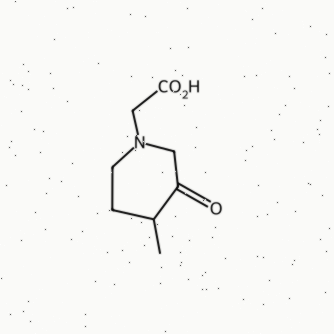 CC1CCN(CC(=O)O)CC1=O